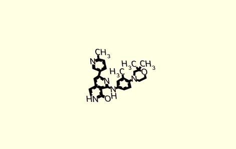 Cc1ccc(-c2cc3cc[nH]c(=O)c3c(Nc3ccc(N4CCOC(C)(C)C4)c(C)c3)n2)cn1